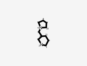 C1C[N]CC(CN2CCCC2)C1